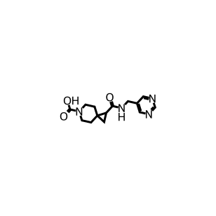 O=C(NCc1cncnc1)C1CC12CCN(C(=O)O)CC2